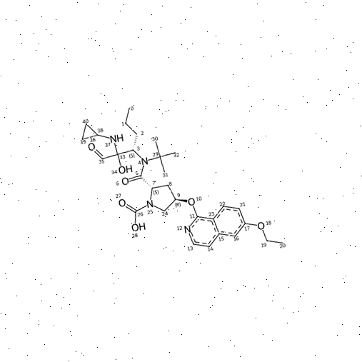 CCC[C@H](N(C(=O)[C@@H]1C[C@@H](Oc2nccc3cc(OCC)ccc23)CN1C(=O)O)C(C)(C)C)C(O)(C=O)NC1CC1